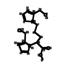 COC(=O)C(CCCn1ccnc1CCl)n1ccnc1CCl